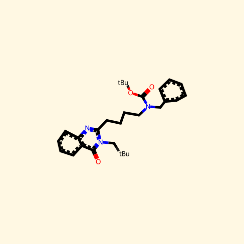 CC(C)(C)Cn1c(CCCCN(Cc2ccccc2)C(=O)OC(C)(C)C)nc2ccccc2c1=O